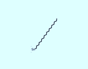 CCCCCCCCCCCCCCCCC[CH2][Sn]